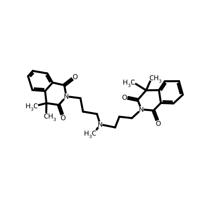 CN(CCCN1C(=O)c2ccccc2C(C)(C)C1=O)CCCN1C(=O)c2ccccc2C(C)(C)C1=O